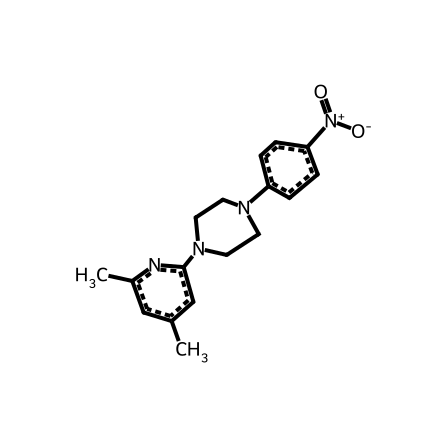 Cc1cc(C)nc(N2CCN(c3ccc([N+](=O)[O-])cc3)CC2)c1